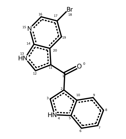 O=C(c1c[nH]c2ccccc12)c1c[nH]c2ncc(Br)cc12